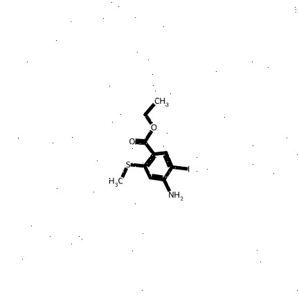 CCOC(=O)c1cc(I)c(N)cc1SC